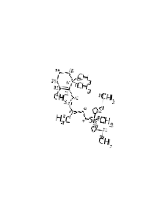 CCO[Si](C)(CC=C(C)CCC1=C(C)CCCC1(C)C)OCC